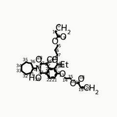 C=CC(=O)OCCCOC(CC)c1c(OCCOC(=O)C=C)ccc2c1C(C)C(=O)N(C1CCCCCC1)C2O